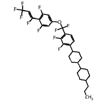 CCCC1CCC(C2CCC(c3ccc(C(F)(F)Oc4cc(F)c(/C(F)=C/C(F)(F)F)c(F)c4)c(F)c3F)CC2)CC1